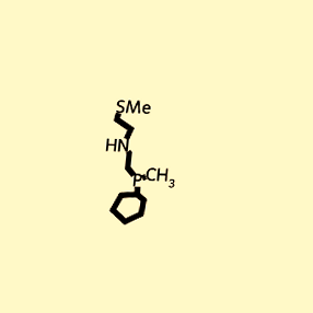 CSCCNCCP(C)C1CCCCC1